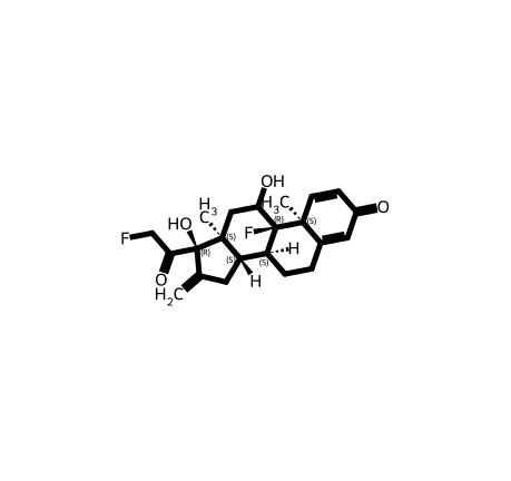 C=C1C[C@H]2[C@@H]3CCC4=CC(=O)C=C[C@]4(C)[C@@]3(F)C(O)C[C@]2(C)[C@@]1(O)C(=O)CF